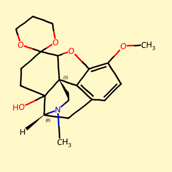 COc1ccc2c3c1OC1C4(CCC5(O)[C@@H](C2)N(C)CC[C@]315)OCCCO4